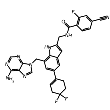 N#Cc1ccc(C(=O)NCc2cc3cc(C4=CCC(F)(F)CC4)cc(Cn4cnc5c(N)ncnc54)c3[nH]2)c(F)c1